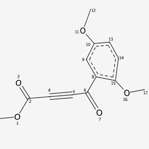 COC(=O)C#CC(=O)c1cc(OC)ccc1OC